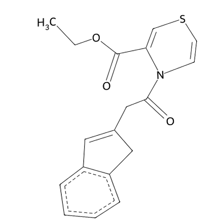 CCOC(=O)C1=CSC=CN1C(=O)CC1=Cc2ccccc2C1